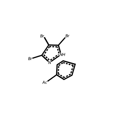 Brc1n[nH]c(Br)c1Br.CC(=O)c1ccccc1